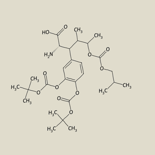 CC(C)COC(=O)OC(C)C(C)C(c1ccc(OC(=O)OC(C)(C)C)c(OC(=O)OC(C)(C)C)c1)[C@H](N)C(=O)O